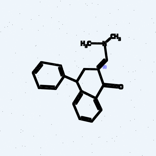 CN(C)/C=C1\CC(c2ccccc2)c2ccccc2C1=O